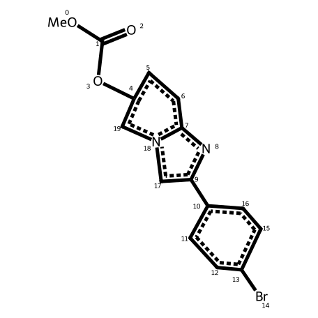 COC(=O)Oc1ccc2nc(-c3ccc(Br)cc3)cn2c1